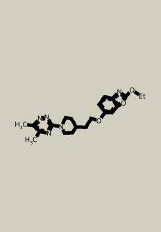 CCOc1nc2ccc(OCCC3CCN(c4nnc(C)c(C)n4)CC3)cc2o1